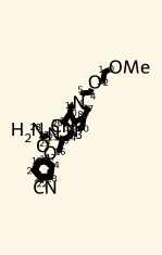 COCCOCCN1CC2CC(C1)CN(CC(COc1ccc(C#N)cc1)N(C)C(N)=O)C2